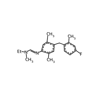 CCN(C)C=Nc1cc(C)c(Cc2ccc(F)cc2C)cc1C